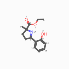 CCOC(=O)C1(C)CCC(c2ccccc2O)=N1